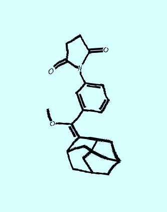 COC(=C1C2CC3CC(C2)CC1C3)c1cccc(N2C(=O)CCC2=O)c1